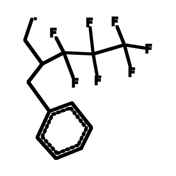 [CH2]CC(Cc1ccccc1)C(F)(F)C(F)(F)C(F)(F)F